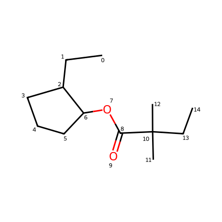 CCC1CCCC1OC(=O)C(C)(C)CC